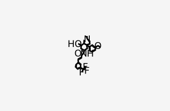 COc1cccc(C23CCN(C)CC2C(O)CC(NC(=O)/C=C/c2cccc(C(F)(F)F)c2)C3)c1